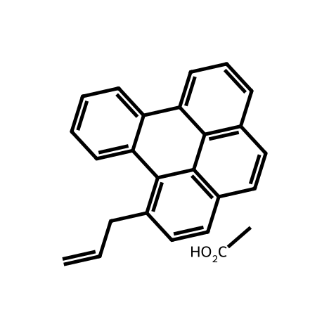 C=CCc1ccc2ccc3cccc4c5ccccc5c1c2c34.CC(=O)O